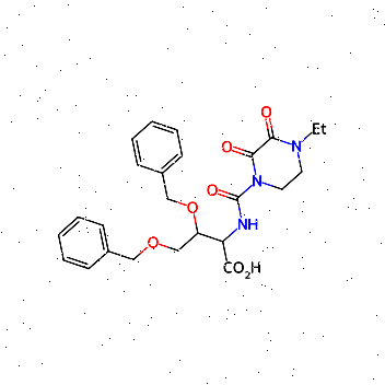 CCN1CCN(C(=O)NC(C(=O)O)C(COCc2ccccc2)OCc2ccccc2)C(=O)C1=O